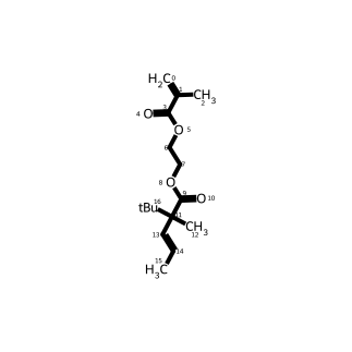 C=C(C)C(=O)OCCOC(=O)C(C)(C=CC)C(C)(C)C